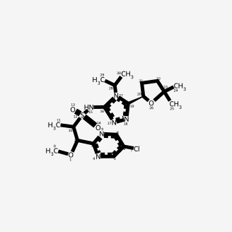 COC(c1ncc(Cl)cn1)C(C)S(=O)(=O)Nc1nnc([C@H]2CCC(C)(C)O2)n1C(C)C